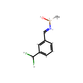 CC(C)(C)[S@@+]([O-])/N=C/c1cccc(C(F)F)c1